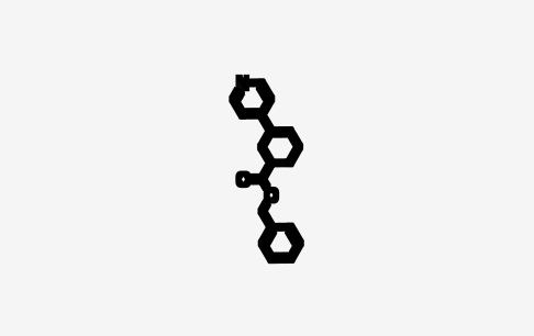 O=C(OCc1ccccc1)C1CCC=C(c2ccncc2)C1